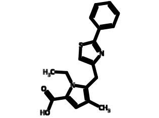 CCn1c(C(=O)O)cc(C)c1Cc1csc(-c2ccccc2)n1